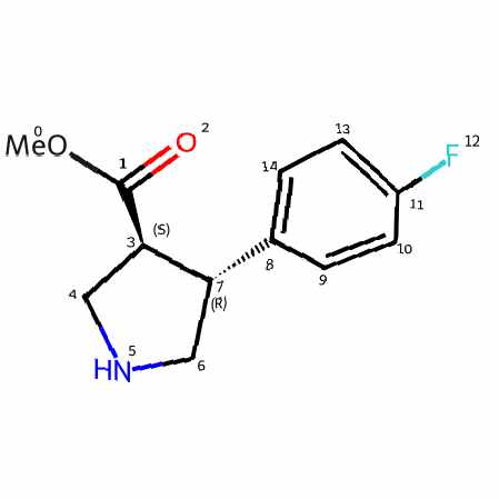 COC(=O)[C@@H]1CNC[C@H]1c1ccc(F)cc1